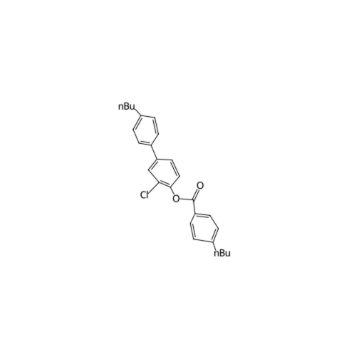 CCCCc1ccc(C(=O)Oc2ccc(-c3ccc(CCCC)cc3)cc2Cl)cc1